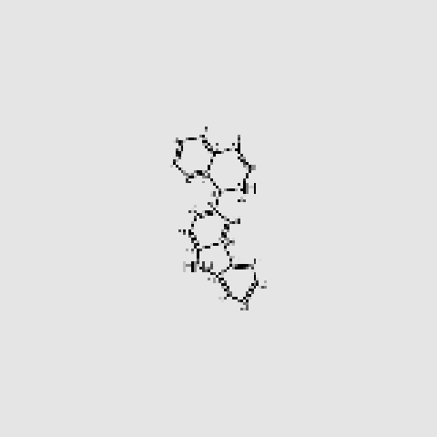 C1=Nc2ccccc2C(c2ccc3[nH]c4ccccc4c3c2)N1